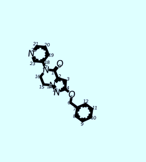 O=C1c2cc(OCc3ccccc3)nn2CCN1c1cccnc1